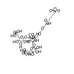 O=C(CCCCCN1C(=O)C=CC1=O)NCCOCCOCCC(=O)N[C@@H](CO[C@H]1OC(CCP(=O)(O)O)[C@@H](O)C(O)[C@H]1O)C(=O)N[C@@H](COC1OC(CCP(=O)(O)O)C(O)C(O)C1O)C(=O)O